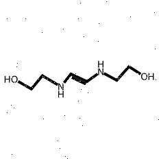 OCCN/C=C/NCCO